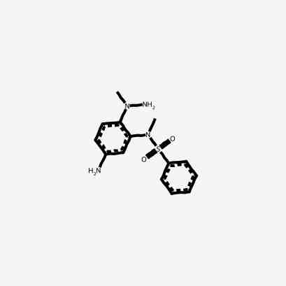 CN(N)c1ccc(N)cc1N(C)S(=O)(=O)c1ccccc1